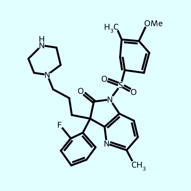 COc1ccc(S(=O)(=O)N2C(=O)C(CCCN3CCNCC3)(c3ccccc3F)c3nc(C)ccc32)cc1C